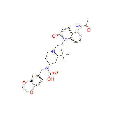 CC(=O)Nc1cccc2c1ccc(=O)n2CCN1CCC(N(Cc2ccc3c(c2)OCCO3)C(=O)O)CC1C(C)(C)C